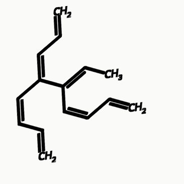 C=C\C=C/C(=C/C=C)C(/C=C\C=C)=C/C